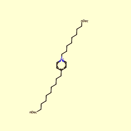 CCCCCCCCCCCCCCCCCCCc1cc[n+](CCCCCCCCCCCCCCCCCC)cc1